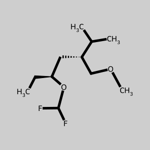 CC[C@@H](C[C@@H](COC)C(C)C)OC(F)F